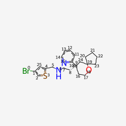 Brc1csc(CNCC[C@@]2(c3ccccn3)CCOC3(CCCC3)C2)c1